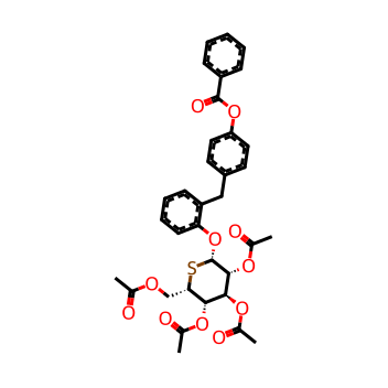 CC(=O)OC[C@@H]1S[C@H](Oc2ccccc2Cc2ccc(OC(=O)c3ccccc3)cc2)[C@H](OC(C)=O)[C@@H](OC(C)=O)[C@@H]1OC(C)=O